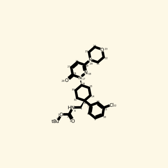 CC(C)(C)OC(=O)NC[C@]1(c2cccc(Cl)c2)CC[C@@H](n2nc(N3CCOCC3)ccc2=O)CC1